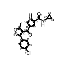 Cc1onc(-c2ccc(Cl)cc2)c1C(=O)c1c[nH]c(C(=O)NC2CC2)c1